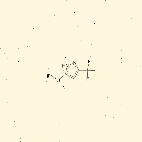 CC(C)Oc1cc(C(C)(F)F)n[nH]1